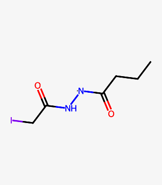 CCCC(=O)[N]NC(=O)CI